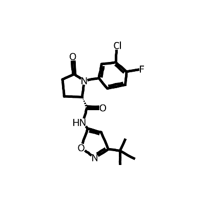 CC(C)(C)c1cc(NC(=O)[C@@H]2CCC(=O)N2c2ccc(F)c(Cl)c2)on1